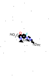 CCCCCCCCCCCCCN1CCN(c2c(F)cc3c(=O)c(C(=O)O)cn(C4CC4)c3c2OC)CC1